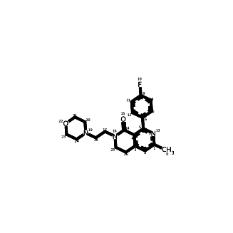 Cc1cc2c(c(-c3ccc(F)cc3)n1)C(=O)N(CCN1CCOCC1)CC2